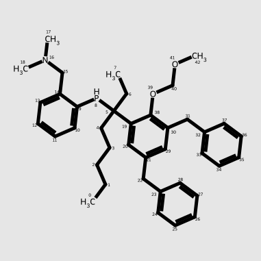 CCCCCC(CC)(Pc1ccccc1CN(C)C)c1cc(Cc2ccccc2)cc(Cc2ccccc2)c1OCOC